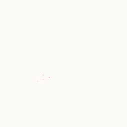 CCCCCCCCC=CCCCCCCCC(=O)PC(O)(CO)C(O)C(=O)CCCCCCCCCCCCCCCCC